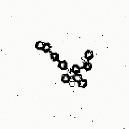 c1ccc2cc(-c3ccc(-c4ccc(N(c5ccc(-c6cccc7c6sc6ccccc67)cc5)c5cccc6oc7c8ccccc8ccc7c56)cc4)cc3)ccc2c1